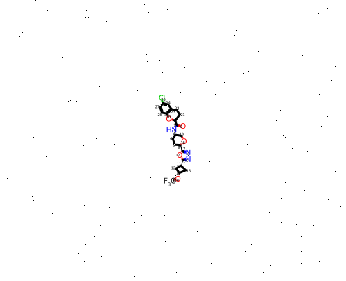 O=C(N[C@H]1CC[C@H](c2nnc([C@H]3C[C@@H](OC(F)(F)F)C3)o2)OC1)C1CCc2cc(Cl)ccc2O1